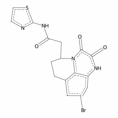 O=C(CC1CCc2cc(Br)cc3[nH]c(=O)c(=O)n1c23)Nc1nccs1